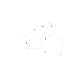 CC1(C)c2cccc3c2C(C)(O3)C1(C)C